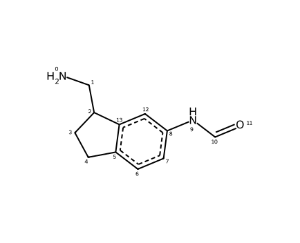 NCC1CCc2ccc(NC=O)cc21